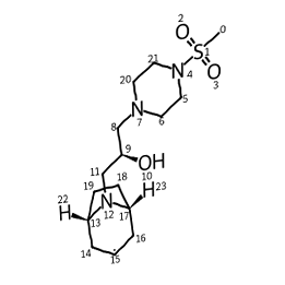 CS(=O)(=O)N1CCN(C[C@@H](O)CN2[C@@H]3C[CH]C[C@H]2CC3)CC1